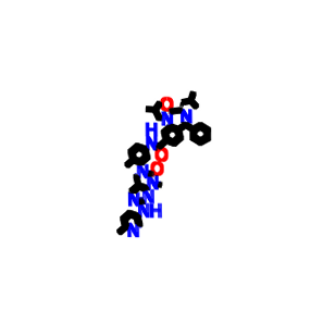 Cc1ccc(Nc2ncc3c(n2)N(C)C(=O)N(c2cc(NC(=O)c4ccc5c(c4)N(CC(C)C)C(=O)[C@H](CC(C)C)N=C5c4ccccc4)ccc2C)C3)cn1